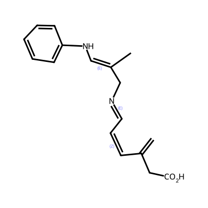 C=C(/C=C\C=N\C/C(C)=C/Nc1ccccc1)CC(=O)O